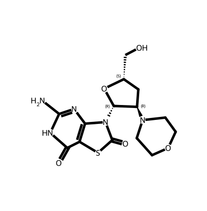 Nc1nc2c(sc(=O)n2[C@@H]2O[C@H](CO)C[C@H]2N2CCOCC2)c(=O)[nH]1